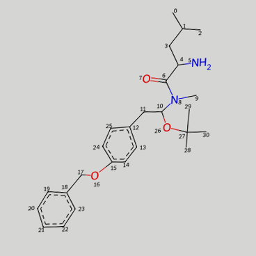 CC(C)CC(N)C(=O)N(C)C(Cc1ccc(OCc2ccccc2)cc1)OC(C)(C)C